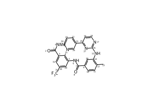 CNC(=O)c1cc(NC(=O)c2ccc(C)c(Nc3nccc(-c4cccnc4)n3)c2)cc(C(F)(F)F)c1